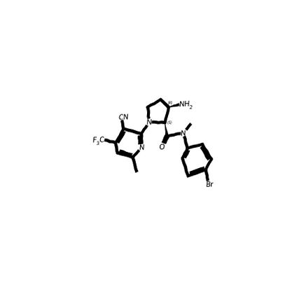 Cc1cc(C(F)(F)F)c(C#N)c(N2CC[C@@H](N)[C@H]2C(=O)N(C)c2ccc(Br)cc2)n1